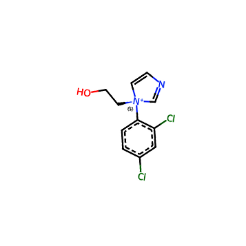 OCC[N@@+]1(c2ccc(Cl)cc2Cl)C=CN=C1